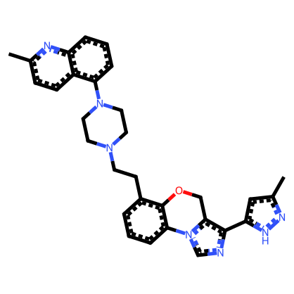 Cc1cc(-c2ncn3c2COc2c(CCN4CCN(c5cccc6nc(C)ccc56)CC4)cccc2-3)[nH]n1